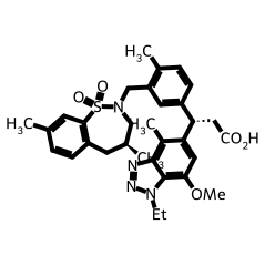 CCn1nnc2c(C)c([C@@H](CC(=O)O)c3ccc(C)c(CN4C[C@@H](C)Cc5ccc(C)cc5S4(=O)=O)c3)cc(OC)c21